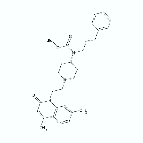 Cc1ccc2c(C)cc(=O)n(CCN3CCC(N(CCCc4ccccc4)C(=O)OC(C)(C)C)CC3)c2c1